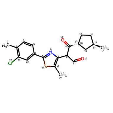 Cc1ccc(-c2nc(C(C=O)C(=O)[C@@H]3CC[C@@H](C)C3)c(C)s2)cc1Cl